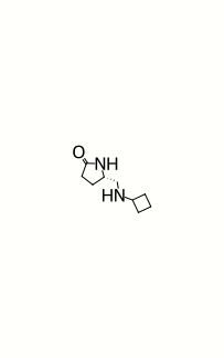 O=C1CC[C@@H](CNC2CCC2)N1